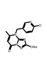 COc1nc2n(Cc3ccc(Cl)nc3)c(C)cc(=O)n2n1